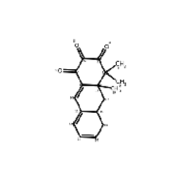 CC1(C)C(=O)C(=O)C(=O)C2=CC3=CC=CCC3CC21C